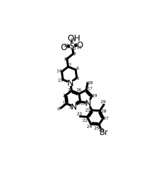 Cc1cc(N2CCC(CCS(=O)(=O)O)CC2)c2c(C)cn(-c3c(C)cc(Br)cc3C)c2n1